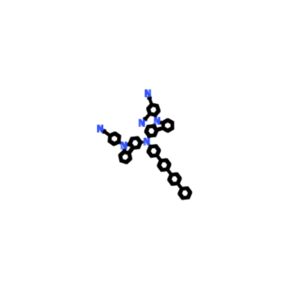 N#Cc1ccc(-n2c3ccccc3c3cc(N(c4ccc(-c5ccc(-c6ccc(-c7ccccc7)cc6)cc5)cc4)c4ccc5c(c4)c4ccccc4n5-c4ccc(C#N)cc4C#N)ccc32)cc1